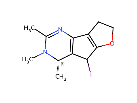 CC1=NC2=C(C(I)C3=C2CCO3)[C@H](C)N1C